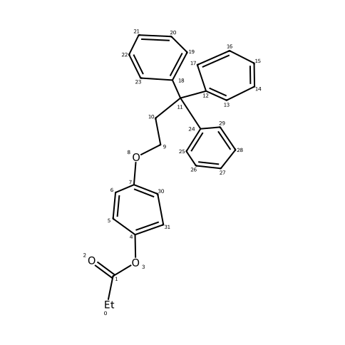 CCC(=O)Oc1ccc(OCCC(c2ccccc2)(c2ccccc2)c2ccccc2)cc1